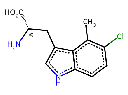 Cc1c(Cl)ccc2[nH]cc(C[C@H](N)C(=O)O)c12